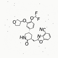 N#Cc1cccc2oc(C[C@@H]3C[C@@H](c4ccc(OC(F)F)c(O[C@H]5CCOC5)c4)CNC3=O)nc12